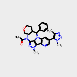 CC(=O)Nc1nn(C)c2c3ncc(-c4c(C)nnn4C)cc3n(C(c3ccccc3)C3CCOCC3)c12